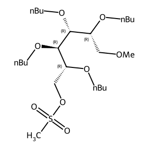 CCCCO[C@@H]([C@H](OCCCC)[C@@H](COS(C)(=O)=O)OCCCC)[C@@H](COC)OCCCC